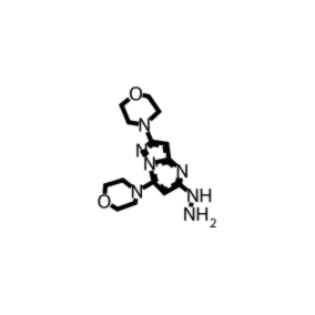 NNc1cc(N2CCOCC2)n2nc(N3CCOCC3)cc2n1